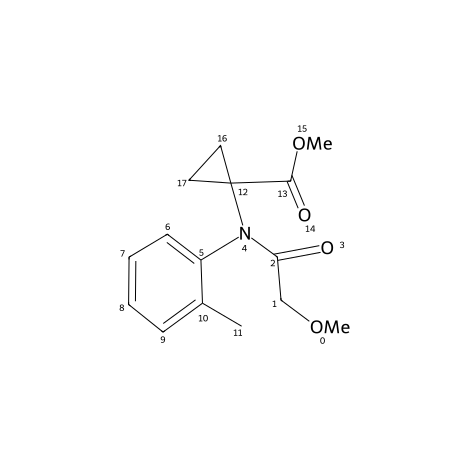 COCC(=O)N(c1ccccc1C)C1(C(=O)OC)CC1